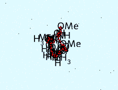 CCC(C)(C)n1nnc2c1-c1ccccc1N(C(=O)CCC(=O)NCC(=O)NCC(=O)N[C@H](C(=O)N[C@@H](C)C(=O)Nc1ccc(COC(=O)N3c4cc(OCCCCCOc5cc6c(cc5OC)C(=O)N5C=C(c7ccc(OC)cc7)C[C@H]5CN6)c(OC)cc4C(=O)N4CC5(CC5)C[C@H]4[C@@H]3O)cc1)C(C)C)Cc1ccccc1-2